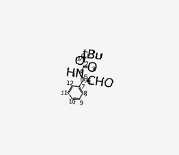 CC(C)(C)OC(=O)N[C@H](C=O)c1ccccc1